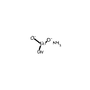 N.[O-][I+2]([O-])O